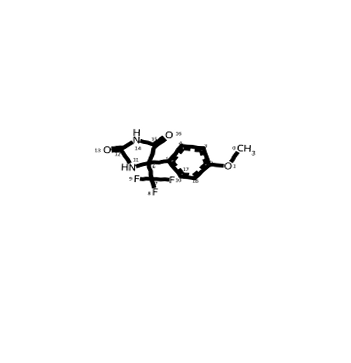 COc1ccc(C2(C(F)(F)F)NC(=O)NC2=O)cc1